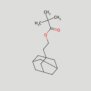 CC(C)(C)C(=O)OCCC12CC3CC(CC(C3)C1)C2